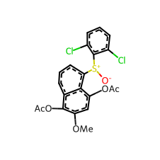 COc1cc(OC(C)=O)c2c([S+]([O-])c3c(Cl)cccc3Cl)cccc2c1OC(C)=O